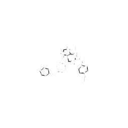 Fc1ccc(Nc2nc(N3CCC(Cc4ccccc4)CC3)c3nc[nH]c3n2)cc1